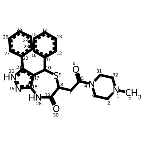 CN1CCN(C(=O)CC2SC(c3ccccc3)c3c(n[nH]c3-c3ccccc3)NC2=O)CC1